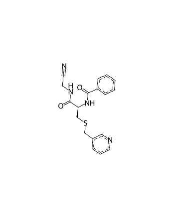 N#CCNC(=O)[C@H](CSCc1cccnc1)NC(=O)c1ccccc1